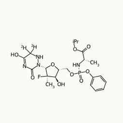 [2H]C1([2H])NN([C@@H]2O[C@H](CO[P@@](=O)(N[C@@H](C)C(=O)OC(C)C)Oc3ccccc3)[C@@H](O)[C@@]2(C)F)C(=O)N=C1O